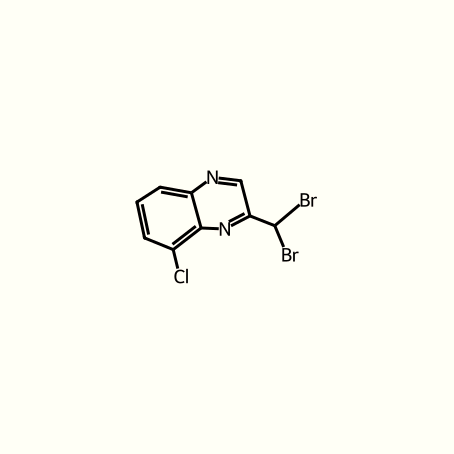 Clc1cccc2ncc(C(Br)Br)nc12